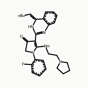 CCCC/C=C1\NC(C2=C(NCCN3CCCC3)N(c3ccccc3F)CC2=O)=Nc2ccccc21